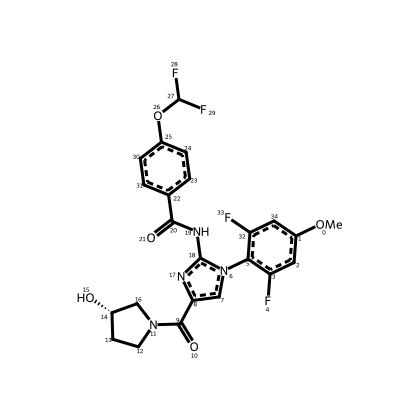 COc1cc(F)c(-n2cc(C(=O)N3CC[C@H](O)C3)nc2NC(=O)c2ccc(OC(F)F)cc2)c(F)c1